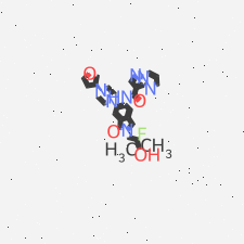 CC(C)(O)[C@H](F)CN1Cc2cc(NC(=O)c3cnn4cccnc34)c(N3CCN([C@H]4CCOC4)CC3)cc2C1=O